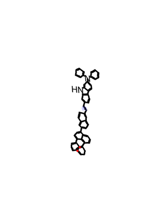 C1=CCCC(c2cccc3c(-c4ccc5cc(/C=C/c6ccc7c(c6)[nH]c6cc(N(c8ccccc8)c8ccccc8)ccc67)ccc5c4)ccc(-c4ccccc4)c23)=C1